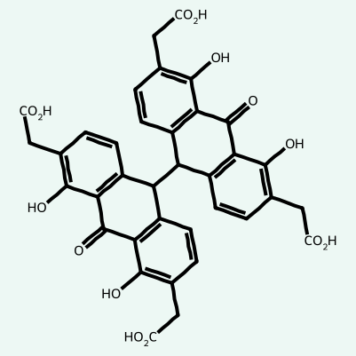 O=C(O)Cc1ccc2c(c1O)C(=O)c1c(ccc(CC(=O)O)c1O)C2C1c2ccc(CC(=O)O)c(O)c2C(=O)c2c1ccc(CC(=O)O)c2O